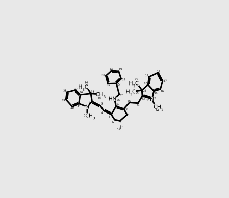 CN1C(=CC=C2CCCC(CCC3=[N+](C)c4ccccc4C3(C)C)=C2NCc2ccccc2)C(C)(C)c2ccccc21.[I-]